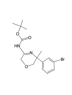 CC(C)(C)OC(=O)NC1=NC(C)(c2cccc(Br)c2)COC1